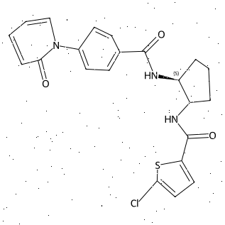 O=C(N[C@H]1CCCC1NC(=O)c1ccc(Cl)s1)c1ccc(-n2ccccc2=O)cc1